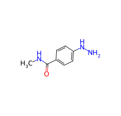 CNC(=O)c1ccc(NN)cc1